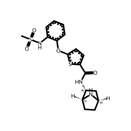 CS(=O)(=O)Nc1ccccc1Oc1ccc(C(=O)N[C@@H]2C[C@H]3CC[C@@H]2N3)s1